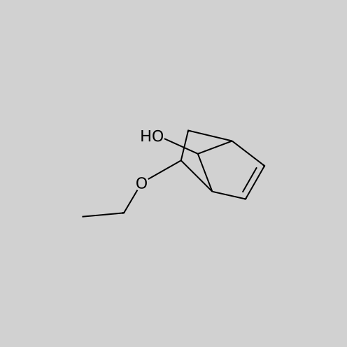 CCOC1CC2C=CC1C2O